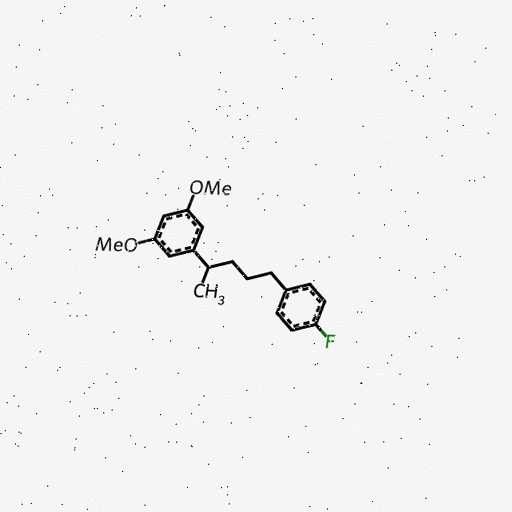 COc1cc(OC)cc(C(C)CCCc2ccc(F)cc2)c1